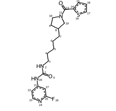 O=C(NCCCCCC1CCN(C(=O)c2cccs2)C1)Nc1ccnc(F)c1